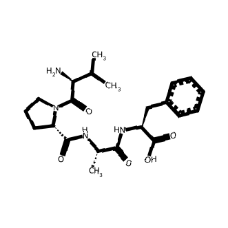 CC(C)[C@H](N)C(=O)N1CCC[C@H]1C(=O)N[C@@H](C)C(=O)N[C@@H](Cc1ccccc1)C(=O)O